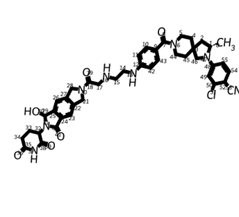 C[C@H]1CC2(CCN(C(=O)c3ccc(NCCNCC(=O)N4Cc5cc6c(cc5C4)C(O)N(C4CCC(=O)NC4=O)C6=O)cc3)CC2)CN1C1=CC(Cl)C(C#N)C=C1